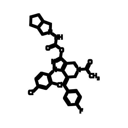 CC(=O)N1C/C(=C\c2ccc(F)cc2)c2c(c(OC(=O)NN3CC4CCCC4C3)nn2-c2ccc(Cl)cc2Cl)C1